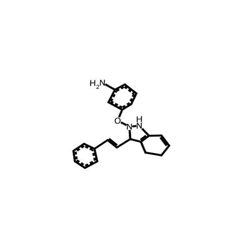 Nc1cccc(ON2NC3=C(CCC=C3)C2C=Cc2ccccc2)c1